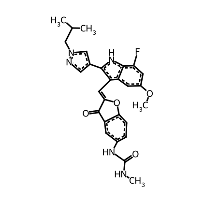 CNC(=O)Nc1ccc2c(c1)C(=O)/C(=C/c1c(-c3cnn(CC(C)C)c3)[nH]c3c(F)cc(OC)cc13)O2